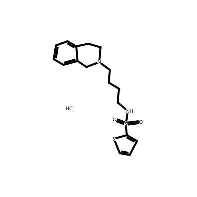 Cl.O=S(=O)(NCCCCN1CCc2ccccc2C1)c1cccs1